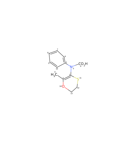 CC1=C(N(C(=O)O)c2ccccc2)SCCO1